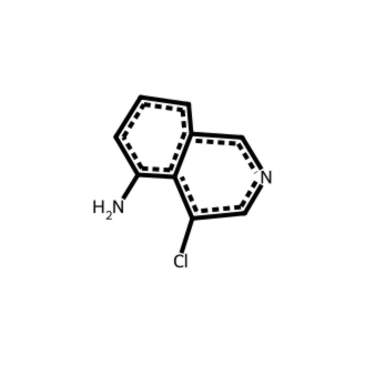 Nc1cccc2cncc(Cl)c12